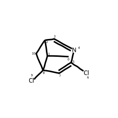 CC1C2C=NC(Cl)=CC1(Cl)C2